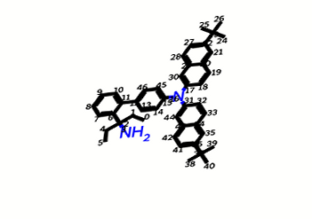 CCC(N)(CC)c1ccccc1-c1ccc(N(c2ccc3cc(C(C)(C)C)ccc3c2)c2ccc3cc(C(C)(C)C)ccc3c2)cc1